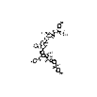 CC(C)[C@@H](C[C@@H](OC(N)=O)c1nc(C(=O)N[C@@H](Cc2ccc(N)cc2)C[C@H](C)C(=O)O)cs1)N(C)C(=O)[C@@H](NC(=O)[C@H]1CCCCN1C)[C@@H](C)CCc1ccc2c(OC(=O)N3CCN(C)CC3)cc3c(c2c1)[C@H](CCl)CN3C(=O)c1cc2cc(NC(=O)c3ccc(N)cc3)ccc2[nH]1